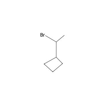 CC(Br)C1CCC1